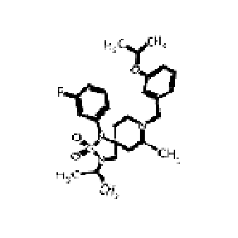 CC(C)Oc1cccc(CN2CC[C@@]3(C[C@@H]2C)CN(C(C)C)S(=O)(=O)N3c2cccc(F)c2)c1